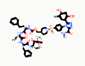 CCNC(=O)c1nnc(-c2cc(C(C)C)c(O)cc2O)n1-c1ccc(S(=O)(=O)N2CCC(COC(=O)N[C@@H](CCc3ccccc3)C(=O)N[C@@H](CC(C)C)C(=O)N[C@@H](Cc3ccccc3)C(=O)N[C@@H](CC(C)C)C(=O)[C@@]3(C)CO3)CC2)cc1